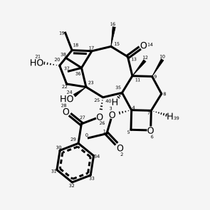 CC(=O)O[C@@]12CO[C@@H]1C[C@H](C)[C@@]1(C)C(=O)[C@H](C)C3=C(C)[C@@H](O)C[C@@](O)([C@@H](OC(=O)c4ccccc4)[C@H]21)C3(C)C